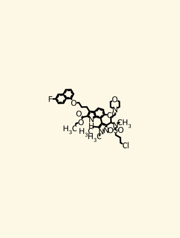 CCOC(=O)c1[nH]c2c(-c3c(C(CCN4CCOCC4)N(C)S(=O)(=O)CCCCl)nn(C)c3CC)c(Cl)ccc2c1CCCOc1cccc2cc(F)ccc12